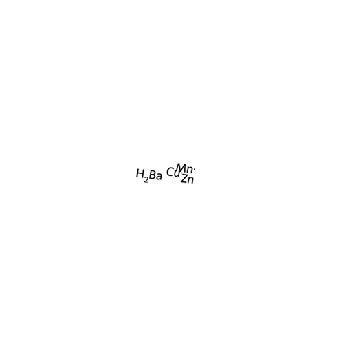 [BaH2].[Cu].[Mn].[Zn]